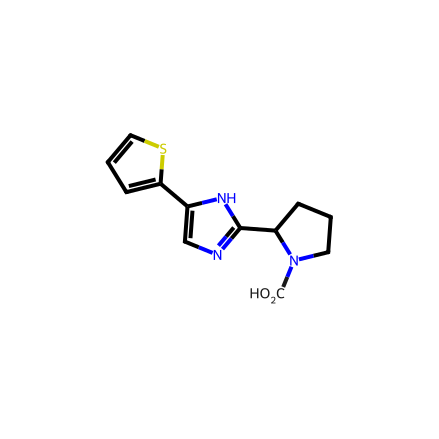 O=C(O)N1CCCC1c1ncc(-c2cccs2)[nH]1